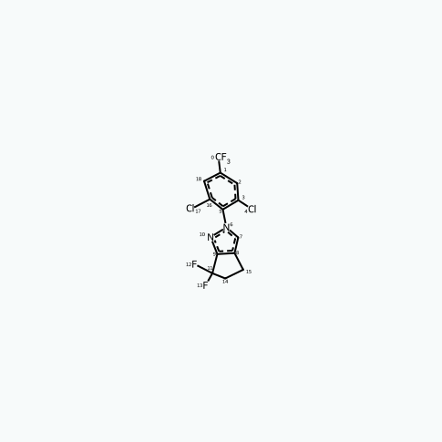 FC(F)(F)c1cc(Cl)c(-n2cc3c(n2)C(F)(F)CC3)c(Cl)c1